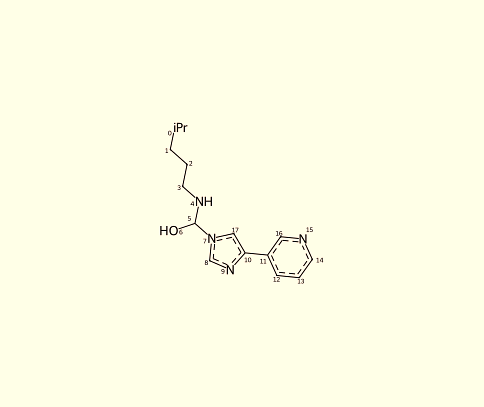 CC(C)CCCNC(O)n1cnc(-c2cccnc2)c1